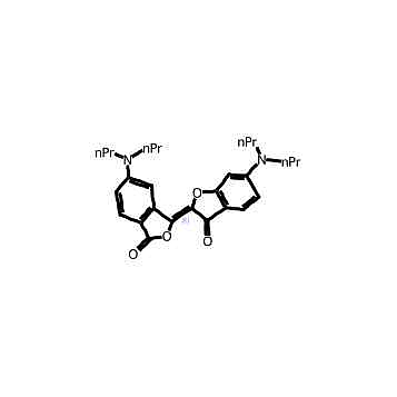 CCCN(CCC)c1ccc2c(c1)O/C(=C1/OC(=O)c3ccc(N(CCC)CCC)cc31)C2=O